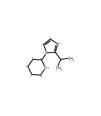 CC(C)c1nccn1C1CCCCO1